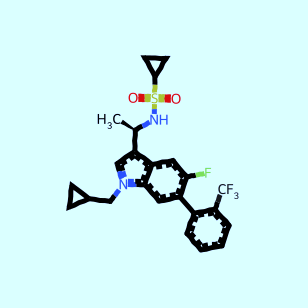 C[C@@H](NS(=O)(=O)C1CC1)c1cn(CC2CC2)c2cc(-c3ccccc3C(F)(F)F)c(F)cc12